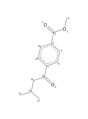 COC(=O)c1ccc(C(=O)CC(C)C)cc1